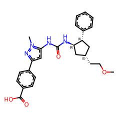 COCC[C@@H]1C[C@@H](NC(=O)Nc2cc(-c3ccc(C(=O)O)cc3)nn2C)[C@H](c2ccccc2)C1